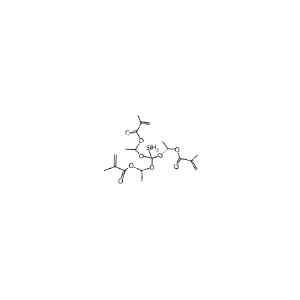 C=C(C)C(=O)OC(C)OC([SiH3])(OC(C)OC(=O)C(=C)C)OC(C)OC(=O)C(=C)C